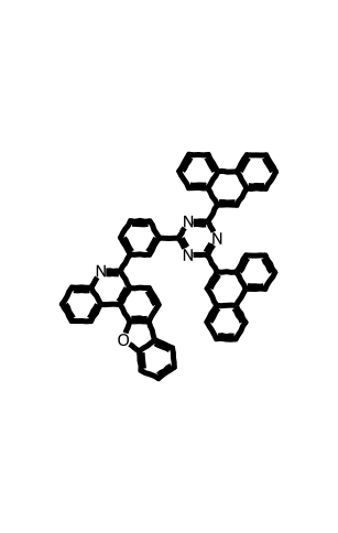 c1cc(-c2nc(-c3cc4ccccc4c4ccccc34)nc(-c3cc4ccccc4c4ccccc34)n2)cc(-c2nc3ccccc3c3c2ccc2c4ccccc4oc23)c1